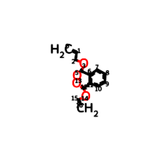 C=CCOC(=O)c1ccccc1C(=O)OC=C